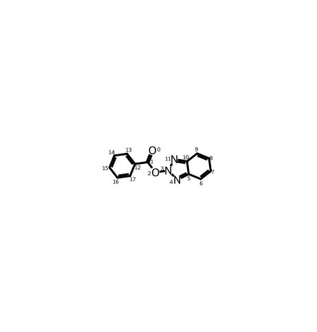 O=C(On1nc2ccccc2n1)c1ccccc1